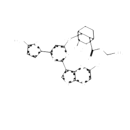 CCOC(=O)[C@@H]1C2CCC(CC2)[C@H]1Nc1cc(-c2ccc(C)s2)nc(-c2c[nH]c3ncc(Cl)nc23)n1